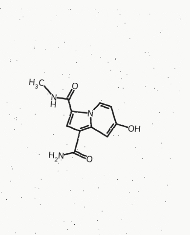 CNC(=O)c1cc(C(N)=O)c2cc(O)ccn12